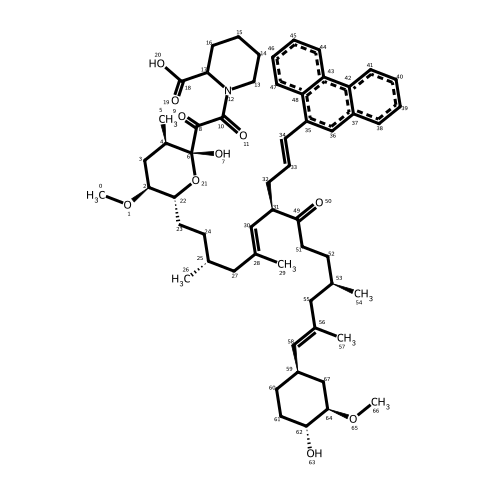 CO[C@H]1C[C@@H](C)[C@](O)(C(=O)C(=O)N2CCCCC2C(=O)O)O[C@@H]1CC[C@@H](C)C/C(C)=C/[C@@H](C/C=C/c1cc2ccccc2c2ccccc12)C(=O)CC[C@@H](C)C/C(C)=C/[C@@H]1CC[C@@H](O)[C@H](OC)C1